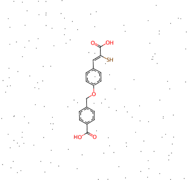 O=C(O)C(S)=Cc1ccc(OCc2ccc(C(=O)O)cc2)cc1